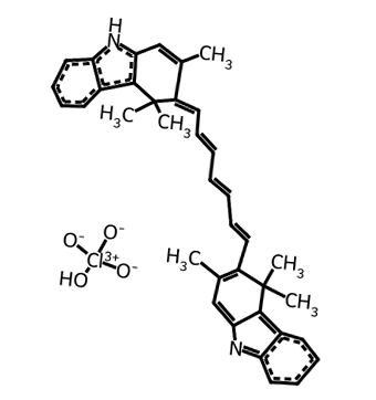 CC1=Cc2[nH]c3ccccc3c2C(C)(C)C1=CC=CC=CC=CC1=C(C)C=C2N=c3ccccc3=C2C1(C)C.[O-][Cl+3]([O-])([O-])O